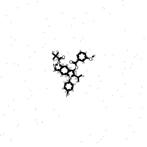 COc1cccc(C(=O)Oc2c(C(C)C)n(-c3ccc(F)cc3)c3cc4cnn(C(=O)C(C)(C)C)c4cc23)c1